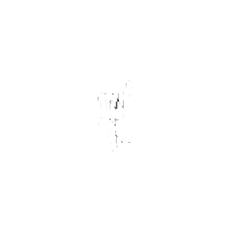 C1=CC2c3cc4c5ccccc5n(-c5ccccc5)c4cc3N(c3cccc(C4N=C(c5ccc6ccccc6c5)N=C(c5ccccc5)N4)c3)C2C=C1